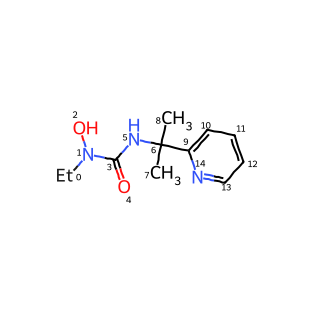 CCN(O)C(=O)NC(C)(C)c1ccccn1